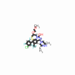 COCCO[C@@H]1CSc2c(-c3cc(Cl)c(F)cc3F)c(C(F)(F)F)cc3c2N(C1)C(O)N=C3N1C[C@@H](C)N[C@@H](C)C1